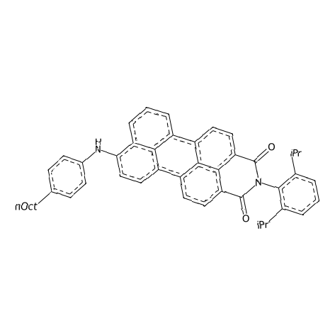 CCCCCCCCc1ccc(Nc2ccc3c4ccc5c6c(ccc(c7cccc2c73)c64)C(=O)N(c2c(C(C)C)cccc2C(C)C)C5=O)cc1